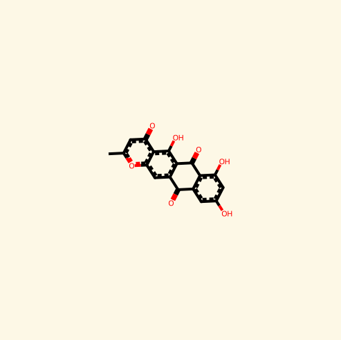 Cc1cc(=O)c2c(O)c3c(cc2o1)C(=O)c1cc(O)cc(O)c1C3=O